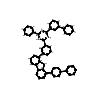 c1ccc(-c2ccc(-c3cccc4c3Cc3c(-c5cccc(-c6nc(-c7ccccc7)nc(-c7cccc(-c8ccccc8)c7)n6)c5)cccc3-4)cc2)cc1